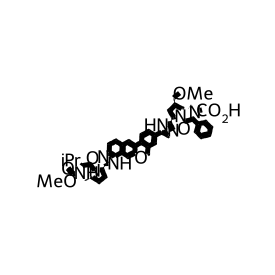 COC[C@H]1C[C@@H](c2ncc(-c3ccc4c(c3)COc3cc5c(cc3-4)CCc3nc([C@@H]4CC[C@H](C)N4C(=O)[C@@H](NC(=O)OC)C(C)C)[nH]c3-5)[nH]2)N(C(=O)[C@@H](c2ccccc2)N(C)C(=O)O)C1